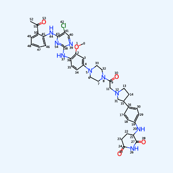 COc1cc(N2CCN(C(=O)CN3CCC(c4ccc(NC5CCC(=O)NC5=O)cc4)C3)CC2)ccc1Nc1ncc(Cl)c(Nc2ccccc2C(C)=O)n1